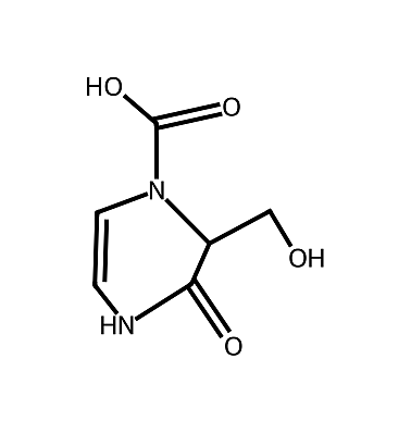 O=C1NC=CN(C(=O)O)C1CO